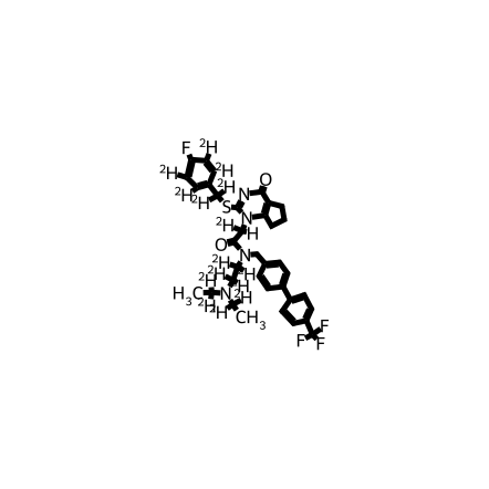 [2H]c1c([2H])c(C([2H])([2H])Sc2nc(=O)c3c(n2C([2H])([2H])C(=O)N(Cc2ccc(-c4ccc(C(F)(F)F)cc4)cc2)C([2H])([2H])C([2H])([2H])N(C([2H])([2H])C)C([2H])([2H])C)CCC3)c([2H])c([2H])c1F